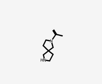 C=C(C)N1CCC2(CCNC2)C1